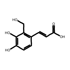 O=C(O)/C=C/c1ccc(O)c(O)c1CO